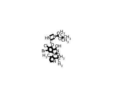 Cc1ccnc(C(C)C)c1-n1c(=O)nc(O)c2c(OC[C@H]3CN(C(=O)OC(C)(C)C)CCN3)c(Cl)c(Br)cc21